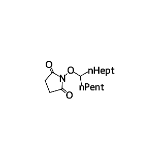 CCCCCCCC(CCCCC)ON1C(=O)CCC1=O